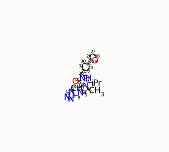 CC(C)C(=O)N1C(C)CN(Cc2nncn2C)CC1C(=O)NCc1ccc(-c2ccco2)cc1